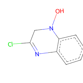 ON1CC(Cl)=Nc2ccccc21